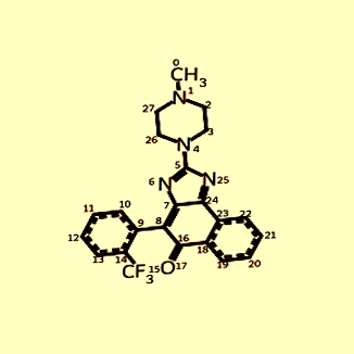 CN1CCN(C2=NC3=C(c4ccccc4C(F)(F)F)C(=O)c4ccccc4C3=N2)CC1